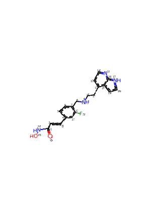 O=C(/C=C/c1ccc(CNCCc2ccnc3[nH]ccc23)c(F)c1)NO